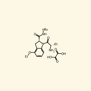 CCCCNC(=O)[C@@H]1Cc2c(OCC)cccc2N1C(=O)[C@@H](N)CC.O=C(O)C(=O)O